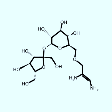 NC=C(N)COC[C@H]1O[C@H](O[C@]2(CO)O[C@H](CO)[C@@H](O)[C@@H]2O)[C@H](O)[C@@H](O)[C@@H]1O